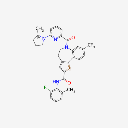 Cc1cccc(F)c1NC(=O)c1cc2c(s1)-c1ccc(C(F)(F)F)cc1N(C(=O)c1cccc(N3CCC[C@@H]3C)n1)CC2